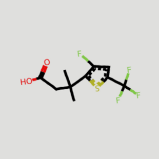 CC(C)(CC(=O)O)c1sc(C(F)(F)F)cc1F